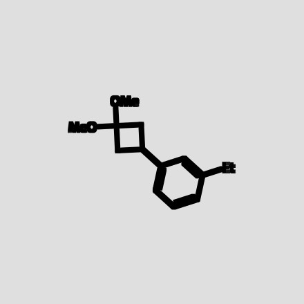 CCc1cccc(C2CC(OC)(OC)C2)c1